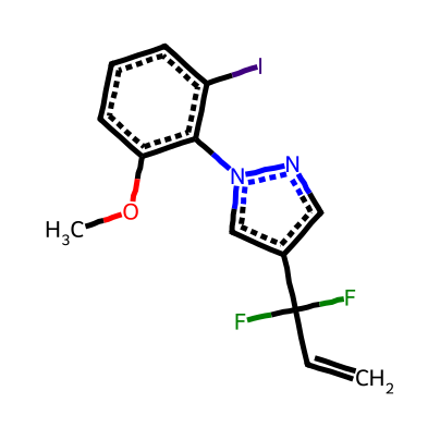 C=CC(F)(F)c1cnn(-c2c(I)cccc2OC)c1